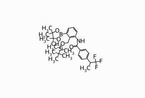 CC(c1ccc(C(=O)Nc2cccc(B3OC(C)(C)C(C)(C)O3)c2CO[Si](C)(C)C(C)(C)C)cc1)C(F)(F)F